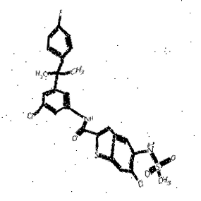 CC(C)(c1ccc(F)cc1)c1cc(Cl)cc(NC(=O)c2cc3cc(NS(C)(=O)=O)c(Cl)cc3s2)c1